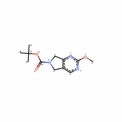 COc1ncc2c(n1)CN(C(=O)OC(C)(C)C)C2